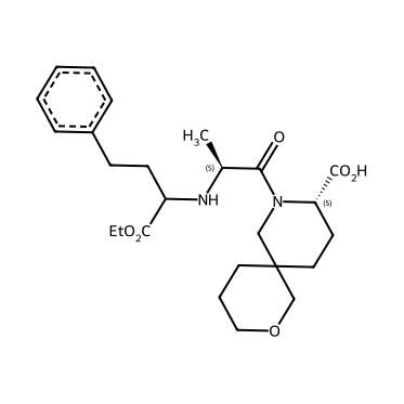 CCOC(=O)C(CCc1ccccc1)N[C@@H](C)C(=O)N1CC2(CCCOC2)CC[C@H]1C(=O)O